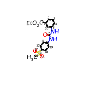 CCOC(=O)c1cccc(NC(=O)Nc2ccc(S(C)(=O)=O)cc2)c1